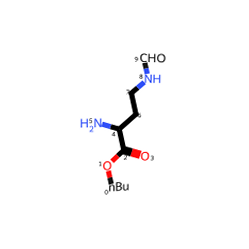 CCCCOC(=O)C(N)CCNC=O